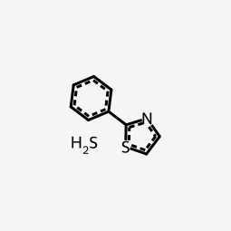 S.c1ccc(-c2nccs2)cc1